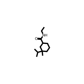 CCNC(=O)C1CCCC(C)(C(C)C)C1